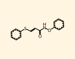 O=C(C=CSc1ccccc1)NOc1ccccc1